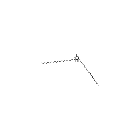 [CH2]c1cc(CCCCCCCCCCCCCCCCCCCC)nc(CCCCCCCCCCCCCCCCCCCC)c1